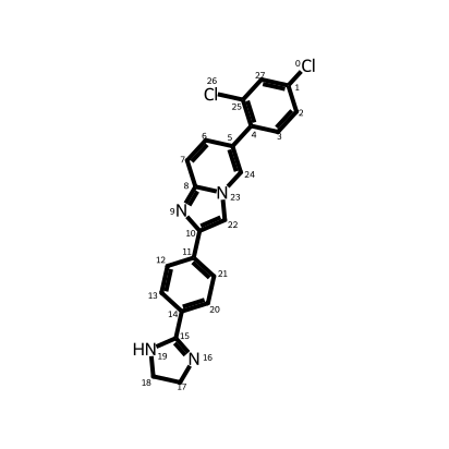 Clc1ccc(-c2ccc3nc(-c4ccc(C5=NCCN5)cc4)cn3c2)c(Cl)c1